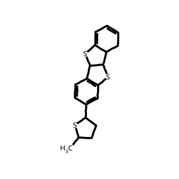 CC1CCC(c2ccc3c(c2)SC2C4CC=CC=C4SC32)S1